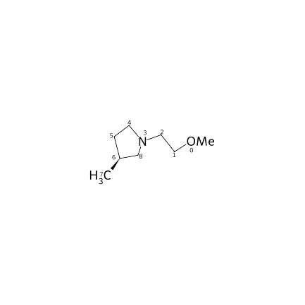 COCCN1CC[C@H](C)C1